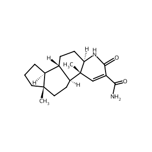 C[C@@]12CCC[C@H]1[C@@H]1CC[C@H]3NC(=O)C(C(N)=O)=C[C@]3(C)[C@H]1CC2